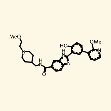 COCCN1CCC(CNC(=O)c2ccc3nc(-c4cc(-c5cccnc5OC)ccc4O)[nH]c3c2)CC1